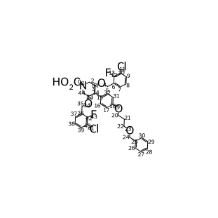 O=C(O)N1C[C@H](OCc2cccc(Cl)c2F)C(c2ccc(OCCCOCc3ccccc3)cc2)[C@H](OCc2cccc(Cl)c2F)C1